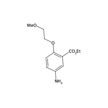 CCOC(=O)c1cc(N)ccc1OCCOC